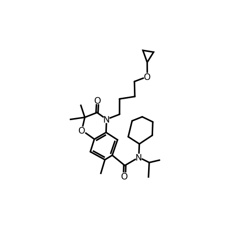 Cc1cc2c(cc1C(=O)N(C(C)C)C1CCCCC1)N(CCCCOC1CC1)C(=O)C(C)(C)O2